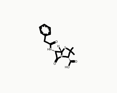 CC1(C)S[C@H]2[C@@H](NC(=O)Cc3ccccc3)C(=O)N2[C@H]1C(=O)O